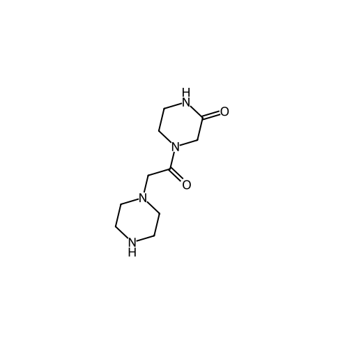 O=C1CN(C(=O)CN2CCNCC2)CCN1